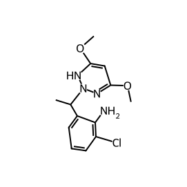 COC1=CC(OC)=NN(C(C)c2cccc(Cl)c2N)N1